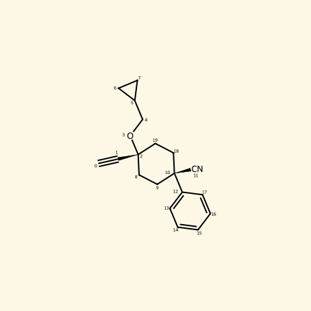 C#C[C@]1(OCC2CC2)CC[C@@](C#N)(c2ccccc2)CC1